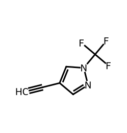 C#Cc1cnn(C(F)(F)F)c1